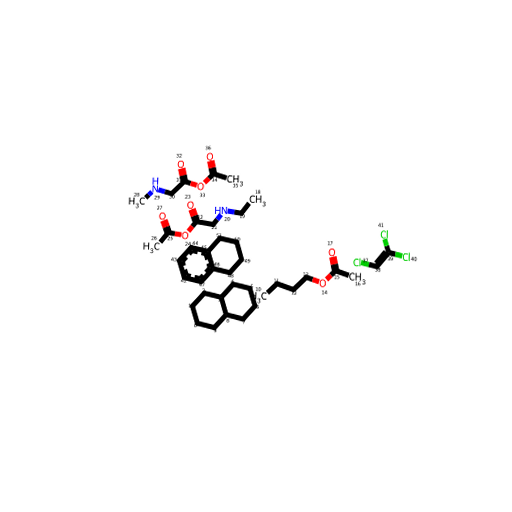 C1CCC2CCCCC2C1.CCCCOC(C)=O.CCNCC(=O)OC(C)=O.CNCC(=O)OC(C)=O.ClC=C(Cl)Cl.c1ccc2c(c1)CCCC2